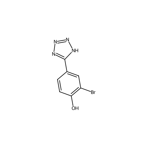 Oc1ccc(-c2nnn[nH]2)cc1Br